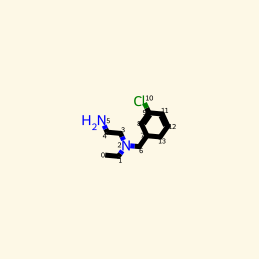 CCN(CCN)CC1C=C(Cl)C=CC1